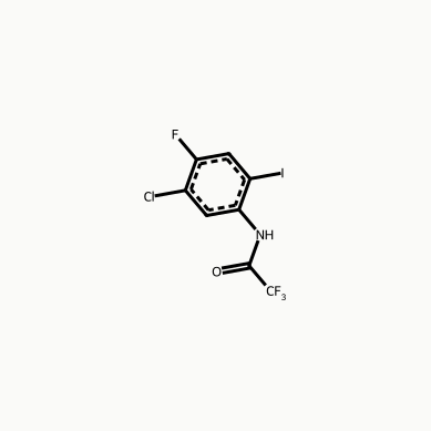 O=C(Nc1cc(Cl)c(F)cc1I)C(F)(F)F